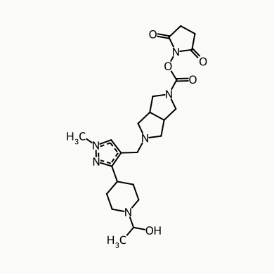 CC(O)N1CCC(c2nn(C)cc2CN2CC3CN(C(=O)ON4C(=O)CCC4=O)CC3C2)CC1